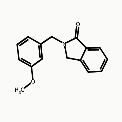 COc1cccc(CN2Cc3ccccc3C2=O)c1